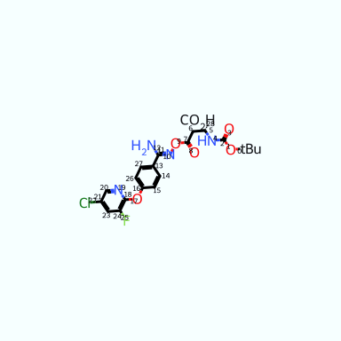 CC(C)(C)OC(=O)N[C@H](CC(=O)O/N=C(\N)c1ccc(Oc2ncc(Cl)cc2F)cc1)C(=O)O